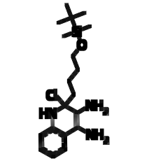 CC(C)(C)[Si](C)(C)OCCCCC1(Cl)Nc2ccccc2C(N)=C1N